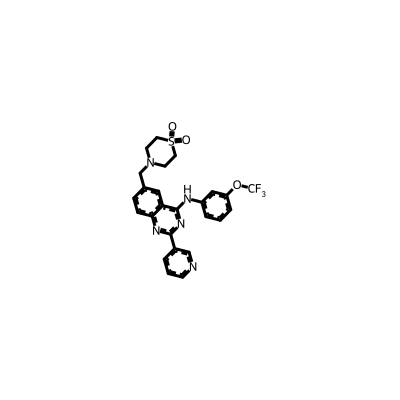 O=S1(=O)CCN(Cc2ccc3nc(-c4cccnc4)nc(Nc4cccc(OC(F)(F)F)c4)c3c2)CC1